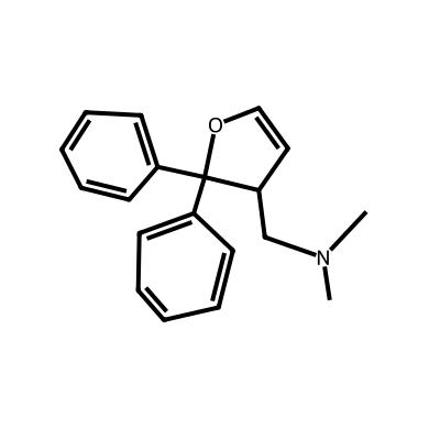 CN(C)CC1C=COC1(c1ccccc1)c1ccccc1